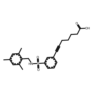 Cc1cc(C)c(CNS(=O)(=O)c2cccc(C#CCCCCC(=O)O)c2)c(C)c1